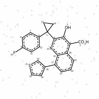 O=C(O)c1c(O)c(C2(c3ccc(F)cc3)CC2)nc2c(-c3ccsc3)cccc12